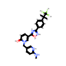 CNc1ccc(Cn2cc(-c3nc(-c4ccc(C(C)(C)C(F)(F)F)cc4)no3)ccc2=O)cn1